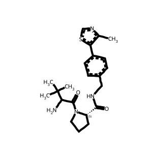 Cc1ncsc1-c1ccc(CNC(=O)[C@@H]2CCCN2C(=O)C(N)C(C)(C)C)cc1